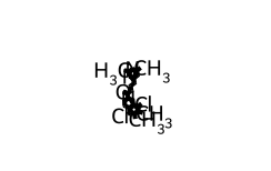 Cc1cc(CCCC(=O)N2CCc3c(Cl)c(C)c(C)c(Cl)c3C2)nc(C)n1